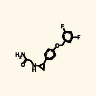 NC(=O)CN[C@H]1CC1c1ccc(OCc2cc(F)cc(F)c2)cc1